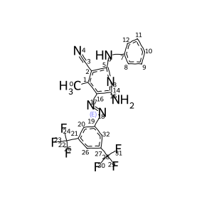 Cc1c(C#N)c(Nc2ccccc2)nc(N)c1/N=N/c1cc(C(F)(F)F)cc(C(F)(F)F)c1